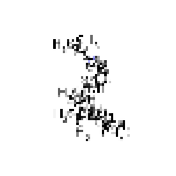 CC(C)CC/C=C/S(=O)(=O)c1cccc(NC(=O)[C@H](C)NC(=O)[C@@H](NNC(=O)OC(C)(C)C)C(C)C)c1